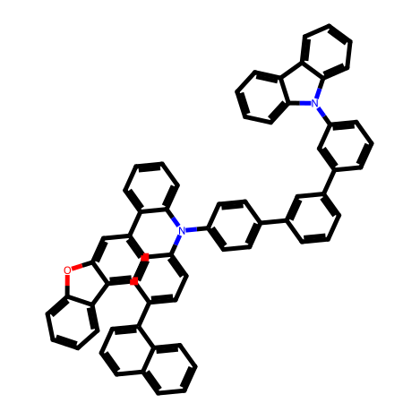 c1cc(-c2ccc(N(c3ccc(-c4cccc5ccccc45)cc3)c3ccccc3-c3ccc4c(c3)oc3ccccc34)cc2)cc(-c2cccc(-n3c4ccccc4c4ccccc43)c2)c1